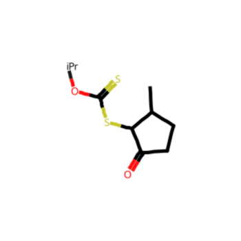 CC(C)OC(=S)SC1C(=O)CCC1C